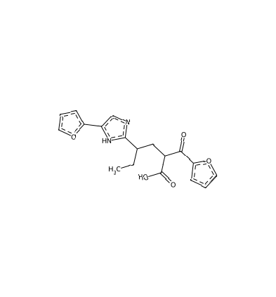 CCC(CC(C(=O)O)C(=O)c1ccco1)c1ncc(-c2ccco2)[nH]1